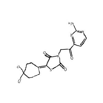 Nc1nccc(C(=O)CN2C(=O)SC(=C3CCC(Cl)(Cl)CC3)C2=O)n1